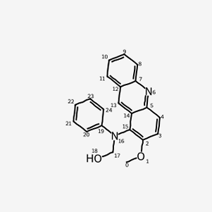 COc1ccc2nc3ccccc3cc2c1N(CO)c1ccccc1